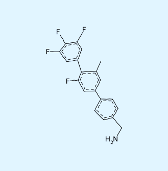 Cc1cc(-c2ccc(CN)cc2)cc(F)c1-c1cc(F)c(F)c(F)c1